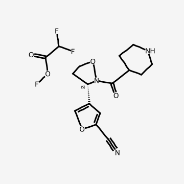 N#Cc1cc([C@@H]2CCON2C(=O)C2CCNCC2)co1.O=C(OF)C(F)F